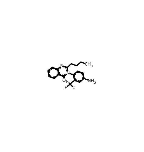 CCCCc1nc2ccccc2c(=O)n1-c1ccc(N)cc1C(F)(F)F